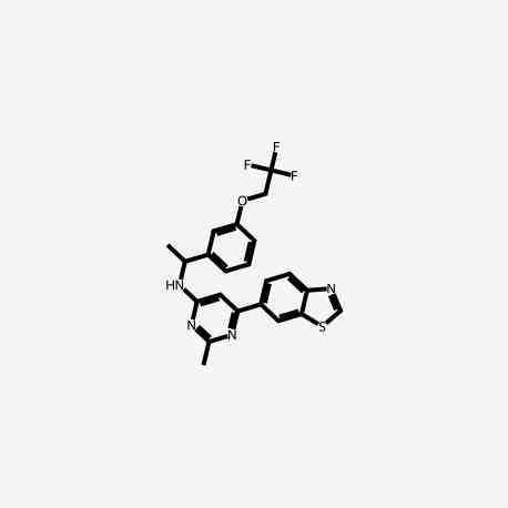 Cc1nc(NC(C)c2cccc(OCC(F)(F)F)c2)cc(-c2ccc3ncsc3c2)n1